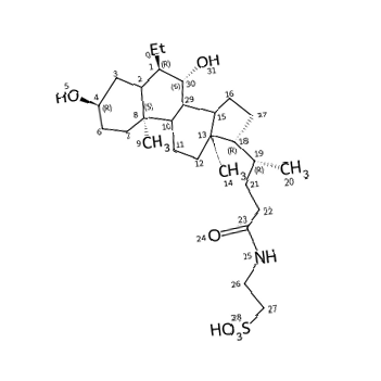 CC[C@@H]1C2C[C@H](O)CC[C@]2(C)C2CCC3(C)C(CC[C@@H]3[C@H](C)CCC(=O)NCCS(=O)(=O)O)C2[C@H]1O